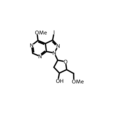 COCC1OC(n2nc(I)c3c(OC)ncnc32)CC1O